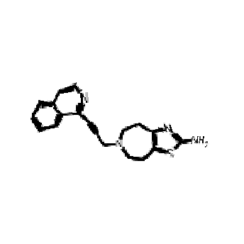 Nc1nc2c(s1)CCN(CC#Cc1nccc3ccccc13)CC2